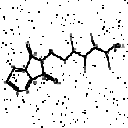 CCCCCCCCC(I)C(I)C(I)C(I)CCN1C(=O)c2ccccc2C1=O